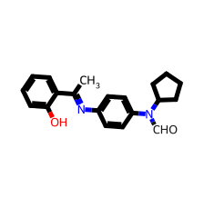 C/C(=N\c1ccc(N(C=O)C2CCCC2)cc1)c1ccccc1O